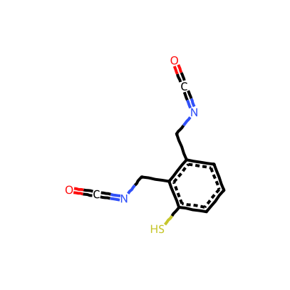 O=C=NCc1cccc(S)c1CN=C=O